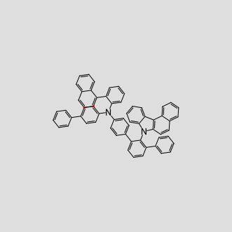 c1ccc(-c2ccc(N(c3ccc(-c4cccc(-c5ccccc5)c4-n4c5ccccc5c5c6ccccc6ccc54)cc3)c3ccccc3-c3cccc4ccccc34)cc2)cc1